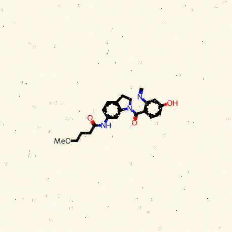 C=Nc1cc(O)ccc1C(=O)N1CCc2ccc(NC(=O)CCCOC)cc21